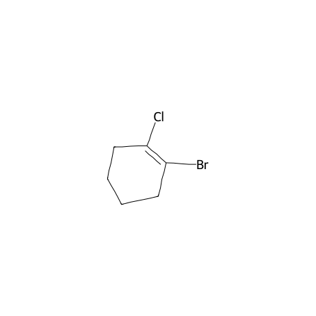 ClC1=C(Br)CCCC1